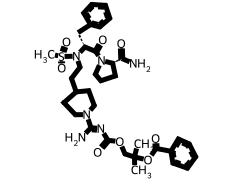 CC(C)(COC(=O)N=C(N)N1CCC(CCN([C@H](Cc2ccccc2)C(=O)N2CCC[C@H]2C(N)=O)S(C)(=O)=O)CC1)OC(=O)c1ccccc1